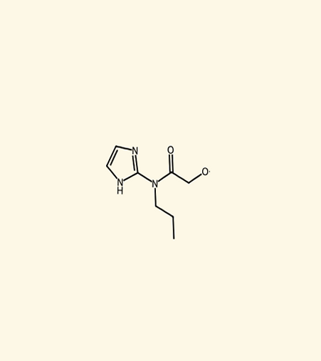 CCCN(C(=O)C[O])c1ncc[nH]1